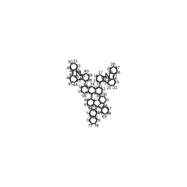 c1ccc2c(c1)-c1c(-c3c4cccc(-c5cccc6c5c5cccc7c8ccccc8n6c75)c4cc4c(-c5cccc6c5c5cccc7c8ccccc8n6c75)cccc34)cccc1C21c2ccccc2-c2c1ccc1ccccc21